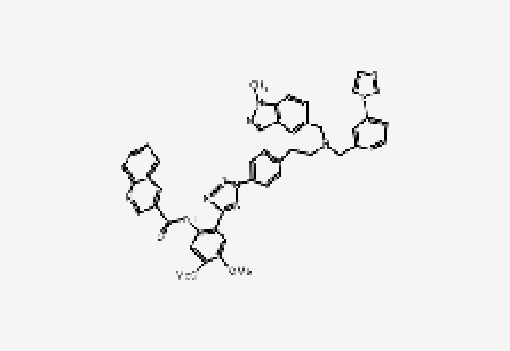 COc1cc(NC(=O)c2cnc3ccccc3c2)c(-c2nnn(-c3ccc(CCN(Cc4cccc(-n5ccnc5)c4)Cc4ccc5c(cnn5C)c4)cc3)n2)cc1OC